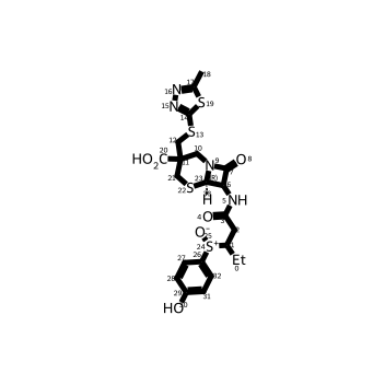 CCC(CC(=O)NC1C(=O)N2CC(CSc3nnc(C)s3)(C(=O)O)CS[C@H]12)[S+]([O-])c1ccc(O)cc1